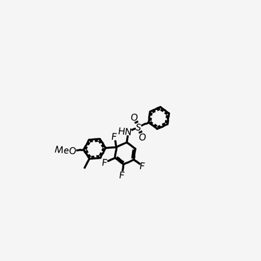 COc1ccc(C2(F)C(F)=C(F)C(F)=CC2NS(=O)(=O)c2ccccc2)cc1C